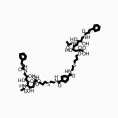 CC(=O)N[C@H]1[C@H]([C@H](O)[C@H](O)CNC(=O)/C=C/c2ccccc2)O[C@@](OCCCSCCNC(=O)c2ccc(C(=O)NCCSCCCO[C@]3(C(=O)O)C[C@H](O)[C@@H](NC(C)=O)[C@H]([C@H](O)[C@H](O)CNC(=O)/C=C/c4ccccc4)O3)cc2)(C(=O)O)C[C@@H]1O